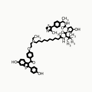 CCN(CCCCCCCCCC(=O)N[C@H](C(=O)N1C[C@H](O)C[C@H]1C(=O)N[C@@H](C)c1ccc(-c2scnc2C)cc1)C(C)(C)C)CCOc1ccc(C(=O)c2c(-c3ccc(O)cc3)sc3cc(O)ccc23)cc1